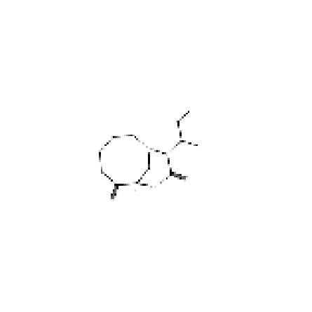 CCC(C)[C@H]1C(=O)N[C@@H]2CN1CCCCC2=O